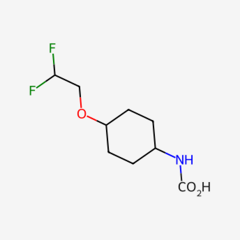 O=C(O)NC1CCC(OCC(F)F)CC1